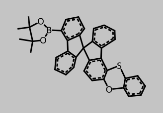 CC1(C)OB(c2cccc3c2-c2ccccc2C32c3ccccc3-c3c2ccc2c3Sc3ccccc3O2)OC1(C)C